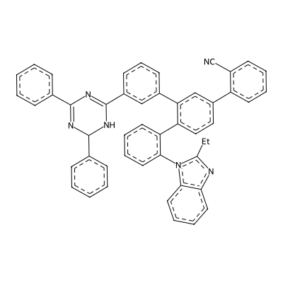 CCc1nc2ccccc2n1-c1ccccc1-c1ccc(-c2ccccc2C#N)cc1-c1cccc(C2=NC(c3ccccc3)=NC(c3ccccc3)N2)c1